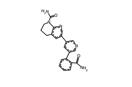 NC(=O)c1ccccc1-c1cncc(-c2cnc3c(c2)CCCN3C(N)=O)c1